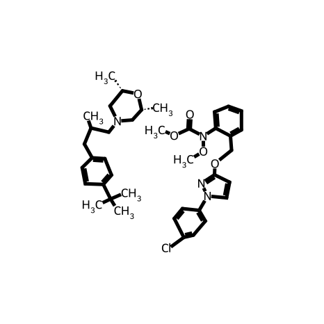 CC(Cc1ccc(C(C)(C)C)cc1)CN1C[C@@H](C)O[C@@H](C)C1.COC(=O)N(OC)c1ccccc1COc1ccn(-c2ccc(Cl)cc2)n1